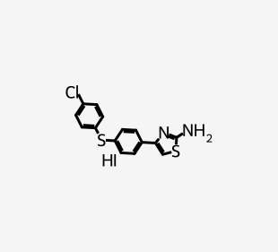 I.Nc1nc(-c2ccc(Sc3ccc(Cl)cc3)cc2)cs1